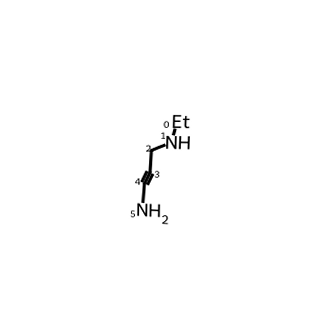 CCNCC#CN